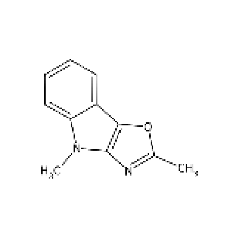 Cc1nc2c(o1)c1ccccc1n2C